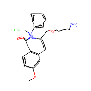 COc1ccc2c(c1)C=C(COCCN)[N+](C)(c1ccccc1)C2=O.Cl